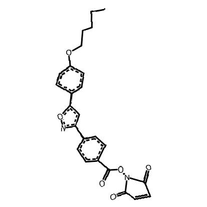 CCCCCOc1ccc(-c2cc(-c3ccc(C(=O)ON4C(=O)C=CC4=O)cc3)no2)cc1